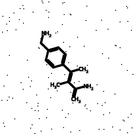 C=C(N)/C(C)=C(\C)c1ccc(CN)cc1